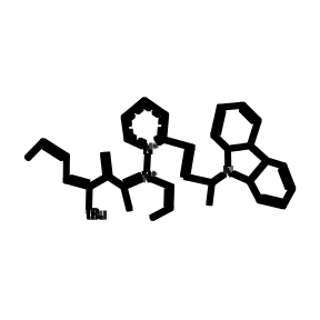 C=C(/C(=C\C=C/C)C(C)(C)C)/C(C)=[N+](/C=C\C)[n+]1ccccc1/C=C/C(C)N1C2C=CC=CC2C2C=CC=CC21